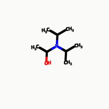 CC(C)N(C(C)C)C(C)O